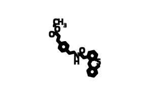 CCOC(=O)CCc1ccc(CCNC(=O)Cc2cccc3c2Cc2ccccc2CS3)cc1